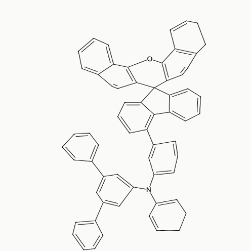 C1=CC(N(c2cc(-c3ccccc3)cc(-c3ccccc3)c2)c2cccc(-c3cccc4c3-c3ccccc3C43c4ccc5c(c4Oc4c3ccc3ccccc43)C=CCC5)c2)=CCC1